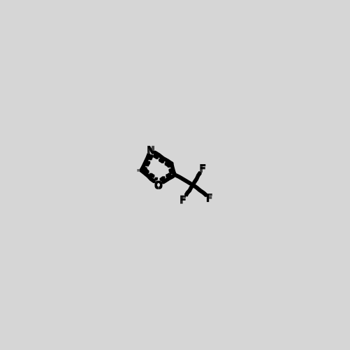 FC(F)(F)c1cn[c]o1